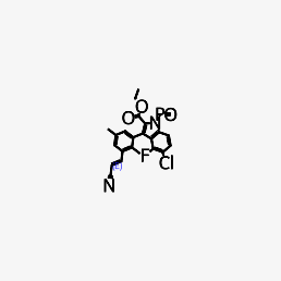 CCOC(=O)c1c(-c2cc(C)cc(/C=C/C#N)c2C)c2c(F)c(Cl)ccc2n1P=O